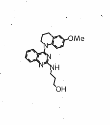 COc1ccc2c(c1)CCCN2c1nc(NCCCO)nc2ccccc12